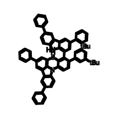 CC(C)(C)c1cc(-c2ccc3c(c2-c2cc(-c4ccccc4)cc4c2[nH]c2ccc(-c5ccccc5)cc24)Bc2cc(-c4ccccc4)cc4c5cc(-c6ccccc6)ccc5n-3c24)cc(C(C)(C)C)c1